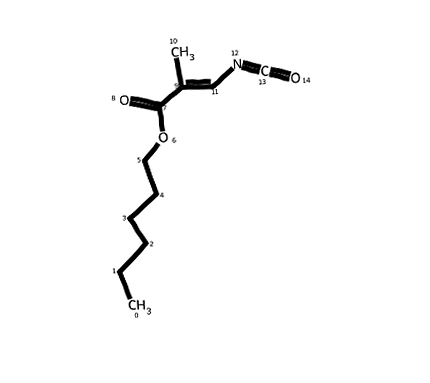 CCCCCCOC(=O)C(C)=CN=C=O